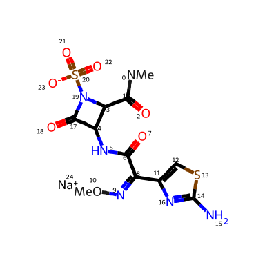 CNC(=O)C1C(NC(=O)C(=NOC)c2csc(N)n2)C(=O)N1S(=O)(=O)[O-].[Na+]